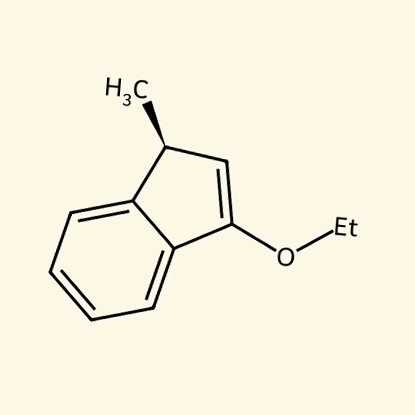 CCOC1=C[C@H](C)c2ccccc21